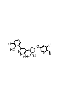 C=Cc1ncc(O[C@H]2CN3c4cc(-c5cccc(Cl)c5O)nnc4NC[C@]3(CC)C2)cc1Cl